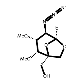 CO[C@@H]1[C@@H](N=[N+]=[N-])[C@H]2OC[C@](CO)(O2)[C@@H]1OC